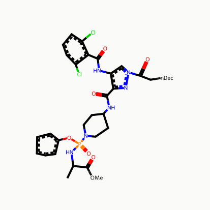 CCCCCCCCCCCC(=O)n1cc(NC(=O)c2c(Cl)cccc2Cl)c(C(=O)NC2CCN(P(=O)(NC(C)C(=O)OC)Oc3ccccc3)CC2)n1